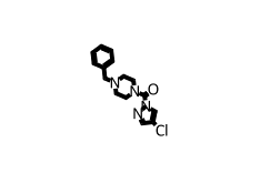 O=C(N1CCN(Cc2ccccc2)CC1)n1cc(Cl)cn1